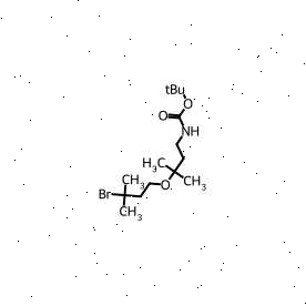 CC(C)(Br)CCOC(C)(C)CCNC(=O)OC(C)(C)C